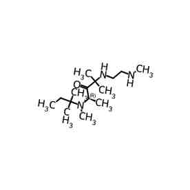 CCC(C)(C)N(C)[C@H](C)C(=O)C(C)(C)NCCNC